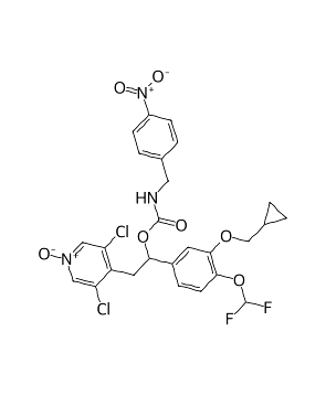 O=C(NCc1ccc([N+](=O)[O-])cc1)OC(Cc1c(Cl)c[n+]([O-])cc1Cl)c1ccc(OC(F)F)c(OCC2CC2)c1